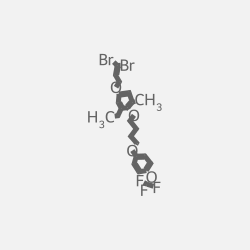 CCc1cc(OCC=C(Br)Br)cc(C)c1OCCCCOc1ccc(OC(F)(F)F)cc1